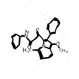 COc1c(-c2ccccc2)c(C(=O)C(=O)Nc2ccccc2)n2c(C)cccc12